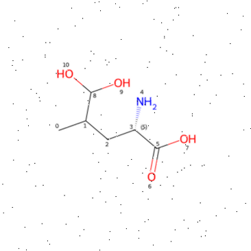 CC(C[C@H](N)C(=O)O)C(O)O